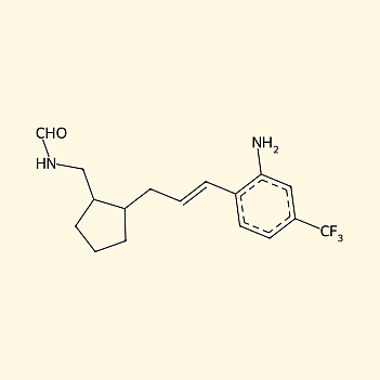 Nc1cc(C(F)(F)F)ccc1/C=C/CC1CCCC1CNC=O